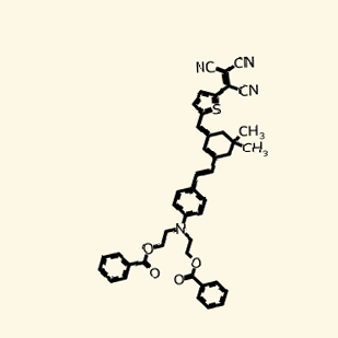 CC1(C)CC(/C=C/c2ccc(N(CCOC(=O)c3ccccc3)CCOC(=O)c3ccccc3)cc2)=CC(=C/c2ccc(C(C#N)=C(C#N)C#N)s2)/C1